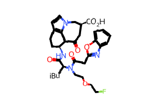 CCC(C)C(C(=O)N[C@H]1CCc2ccn3c2C1C(=O)C[C@H](C(=O)O)C3)N(CCOCCF)C(=O)Cc1nc2ccccc2o1